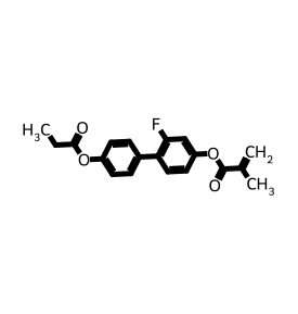 C=C(C)C(=O)Oc1ccc(-c2ccc(OC(=O)CC)cc2)c(F)c1